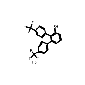 Br.FC(F)(F)c1ccc(-c2cccc(S)c2-c2ccc(C(F)(F)F)cc2)cc1